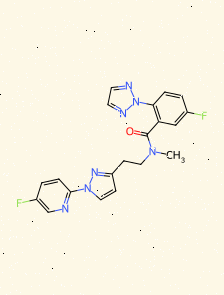 CN(CCc1ccn(-c2ccc(F)cn2)n1)C(=O)c1cc(F)ccc1-n1nccn1